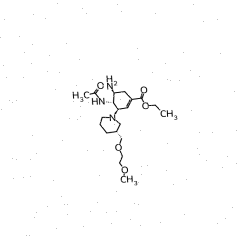 CCOC(=O)C1=C[C@@H](N2CCC[C@@H](COCCOC)C2)[C@H](NC(C)=O)[C@@H](N)C1